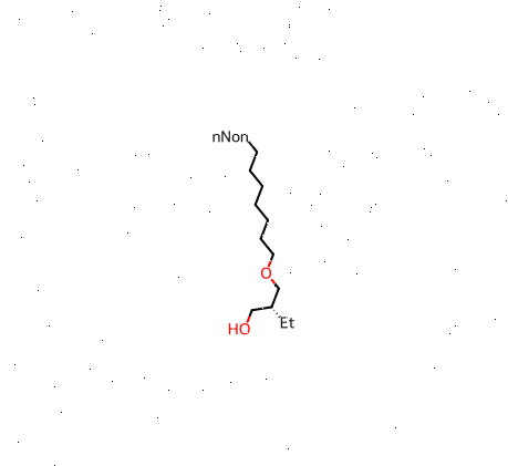 CCCCCCCCCCCCCCCCOC[C@H](CC)CO